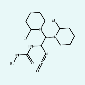 CCNC(=O)NC(N=C=O)C(N1CCCCC1CC)N1CCCCC1CC